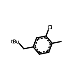 Cc1ccc(CC(C)(C)C)cc1Cl